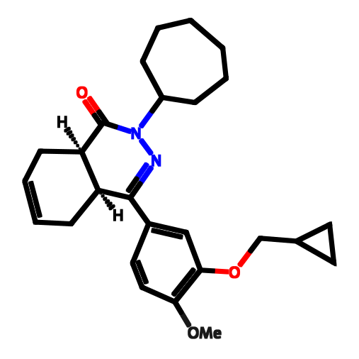 COc1ccc(C2=NN(C3CCCCCC3)C(=O)[C@@H]3CC=CC[C@H]23)cc1OCC1CC1